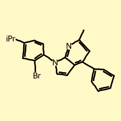 Cc1cc(-c2ccccc2)c2ccn(-c3ccc(C(C)C)cc3Br)c2n1